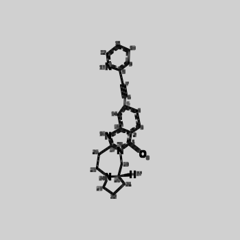 O=c1c2ccc(C#Cc3ccccn3)cc2nc2n1C[C@@H]1CCCN1CC2